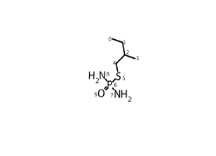 CCC(C)CSP(N)(N)=O